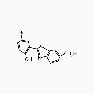 O=C(O)c1ccc2nc(-c3cc(Br)ccc3O)sc2c1